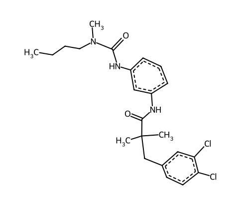 CCCCN(C)C(=O)Nc1cccc(NC(=O)C(C)(C)Cc2ccc(Cl)c(Cl)c2)c1